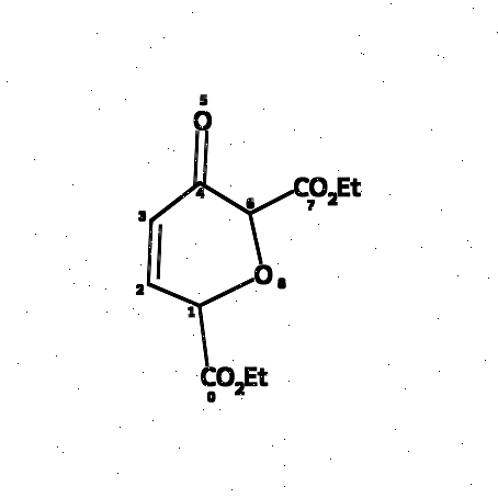 CCOC(=O)C1C=CC(=O)C(C(=O)OCC)O1